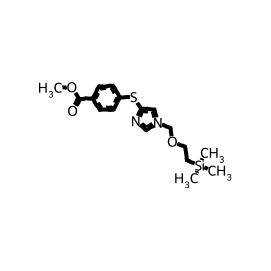 COC(=O)c1ccc(Sc2cn(COCC[Si](C)(C)C)cn2)cc1